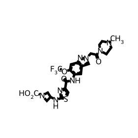 CN1CCN(C(=O)Cn2cc3cc(NC(=O)c4csc(NC5CN(C(=O)O)C5)n4)c(OC(F)(F)F)cc3n2)CC1